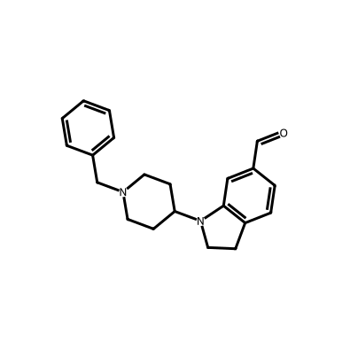 O=Cc1ccc2c(c1)N(C1CCN(Cc3ccccc3)CC1)CC2